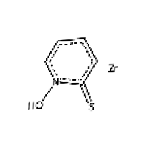 On1ccccc1=S.[Zr]